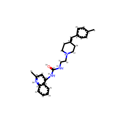 Cc1ccc(C=C2CCN(CCNC(=O)Nc3cc(C)nc4ccccc34)CC2)cc1